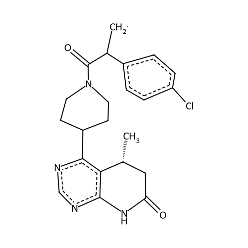 [CH2]C(C(=O)N1CCC(c2ncnc3c2[C@H](C)CC(=O)N3)CC1)c1ccc(Cl)cc1